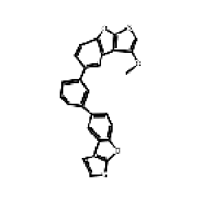 COc1csc2oc3ccc(-c4cccc(-c5ccc6oc7sccc7c6c5)c4)cc3c12